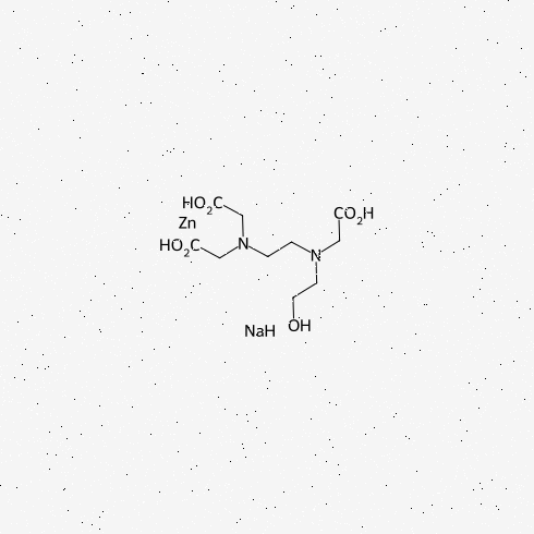 O=C(O)CN(CCO)CCN(CC(=O)O)CC(=O)O.[NaH].[Zn]